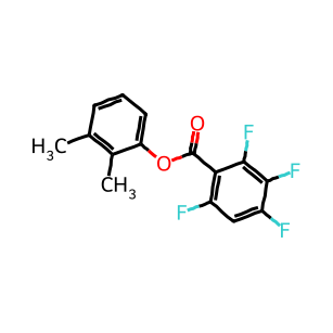 Cc1cccc(OC(=O)c2c(F)cc(F)c(F)c2F)c1C